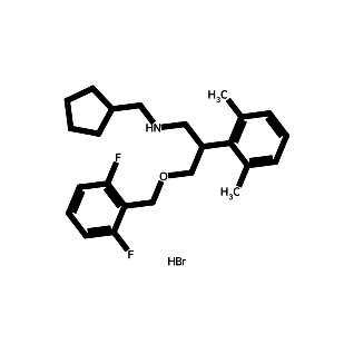 Br.Cc1cccc(C)c1C(CNCC1CCCC1)COCc1c(F)cccc1F